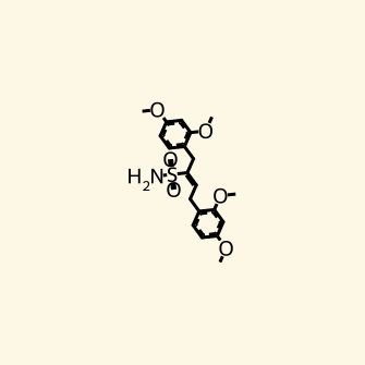 COc1ccc(CC=C(Cc2ccc(OC)cc2OC)S(N)(=O)=O)c(OC)c1